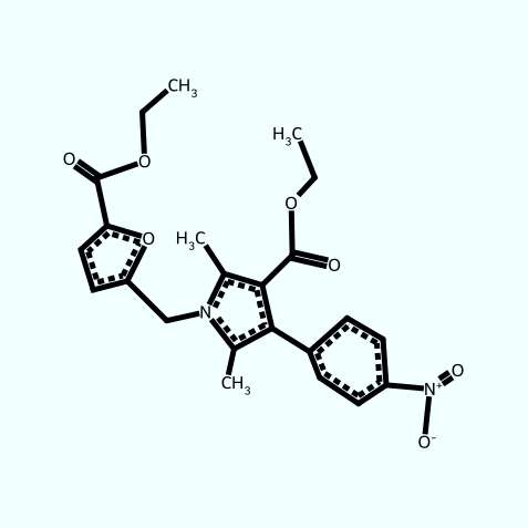 CCOC(=O)c1ccc(Cn2c(C)c(C(=O)OCC)c(-c3ccc([N+](=O)[O-])cc3)c2C)o1